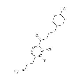 C=CCCc1ccc(C(=O)CCCC2CCC(CCC)CC2)c(O)c1F